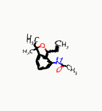 CCC1OC(C)(CC)c2cccc(NC(C)=O)c21